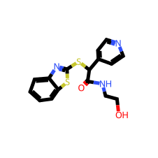 O=C(NCCO)C(Sc1nc2ccccc2s1)c1ccncc1